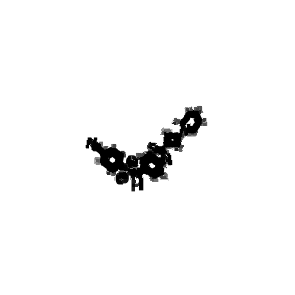 N#Cc1ccc(S(=O)(=O)Nc2ccc3nc([C@H]4C[C@@H](N5CCCCC5)C4)sc3c2)cc1